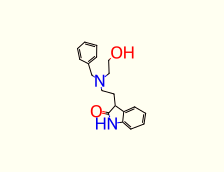 O=C1Nc2ccccc2C1CCN(CCO)Cc1ccccc1